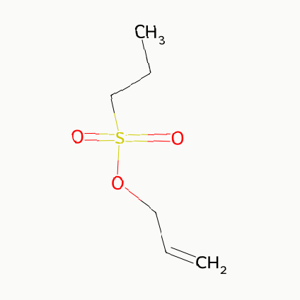 C=CCOS(=O)(=O)CCC